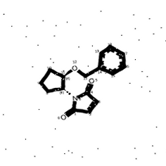 O=C1C=CC(=O)N1[C@@H]1CCC[C@H]1OCc1ccccc1